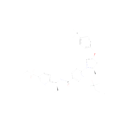 CCC(F)(F)OC[C@@H]1C[C@H](Oc2ccc(C(F)(F)F)cc2)CN1c1ccc(C(=O)N[C@@H](CO)c2ccc(S(=O)(=O)CC)cn2)cn1